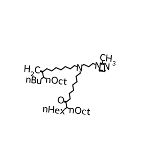 C=C(CCCCCCCN(CCCCCCCC(=O)C(CCCCCC)CCCCCCCC)CCCn1ccnc1C)C(CCCC)CCCCCCCC